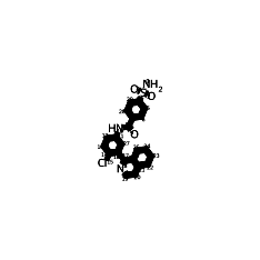 NS(=O)(=O)c1ccc(C(=O)Nc2ccc(Cl)c(-c3nccc4ccccc34)c2)cc1